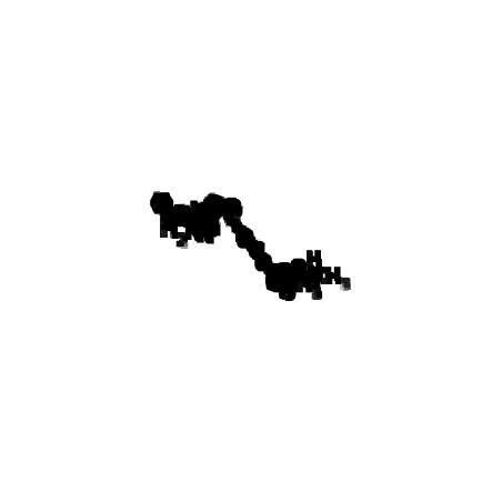 CNC(=O)CCC(C=O)N(C)C(=O)c1c(C=O)cccc1OCCOCCOCCOCC/C=C/C(=O)N1CCCC(n2nc(-c3ccc(Oc4ccccc4)cc3)c3c(N)ncnc32)C1